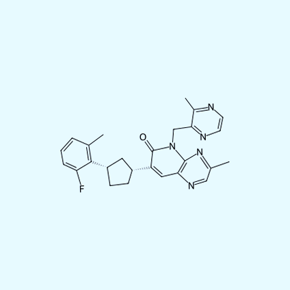 Cc1cnc2cc([C@@H]3CC[C@H](c4c(C)cccc4F)C3)c(=O)n(Cc3nccnc3C)c2n1